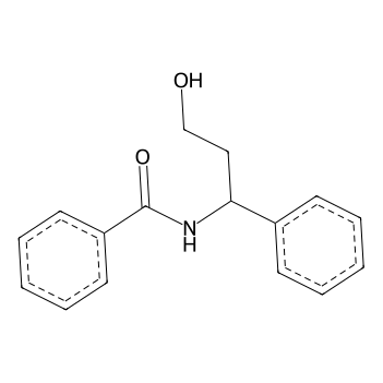 O=C(NC(CCO)c1ccccc1)c1ccccc1